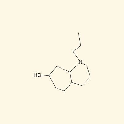 CCCN1CCCC2CCC(O)CC21